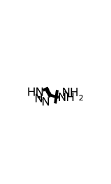 CC(C)(NN)c1c[nH]nn1